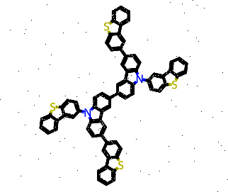 c1ccc2c(c1)sc1ccc(-c3ccc4c(c3)c3cc(-c5ccc6c(c5)c5cc(-c7ccc8sc9ccccc9c8c7)ccc5n6-c5ccc6sc7ccccc7c6c5)ccc3n4-c3ccc4sc5ccccc5c4c3)cc12